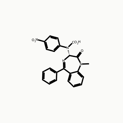 CN1C(=O)[C@@H](N(C(=O)O)c2ccc([N+](=O)[O-])cc2)N=C(c2ccccc2)c2ccccc21